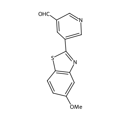 COc1ccc2sc(-c3cncc(C=O)c3)nc2c1